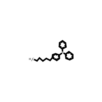 CCCCCCc1ccc(P(c2ccccc2)c2ccccc2)cc1